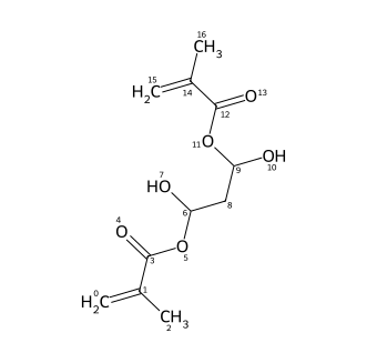 C=C(C)C(=O)OC(O)CC(O)OC(=O)C(=C)C